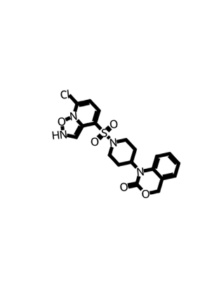 O=C1OCc2ccccc2N1C1CCN(S(=O)(=O)C2=CC=C(Cl)N3ONC=C23)CC1